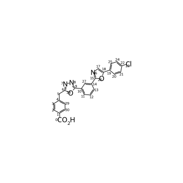 O=C(O)c1ccc(Cc2nnc(-c3cccc(-c4ncc(-c5ccc(Cl)cc5)o4)c3)o2)cc1